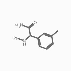 Cc1cccc(C(NC(C)C)C(N)=O)c1